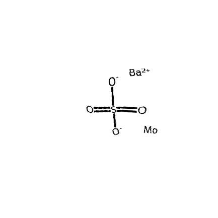 O=S(=O)([O-])[O-].[Ba+2].[Mo]